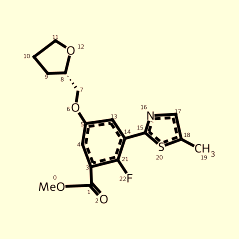 COC(=O)c1cc(OC[C@@H]2CCCO2)cc(-c2ncc(C)s2)c1F